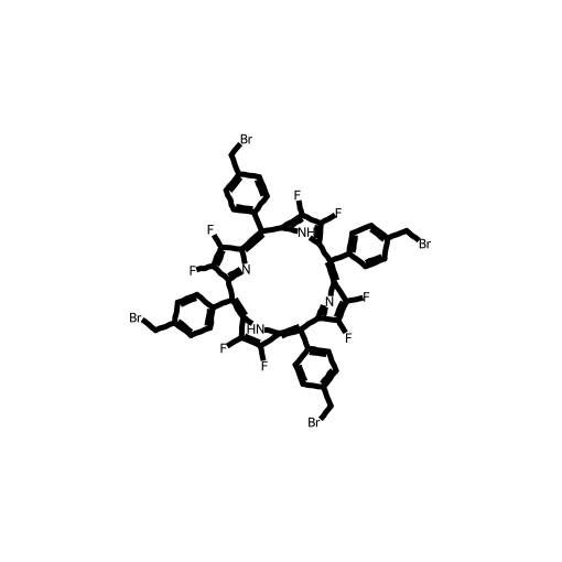 FC1=C(F)c2nc1c(-c1ccc(CBr)cc1)c1[nH]c(c(F)c1F)c(-c1ccc(CBr)cc1)c1nc(c(-c3ccc(CBr)cc3)c3[nH]c(c(F)c3F)c2-c2ccc(CBr)cc2)C(F)=C1F